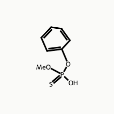 COP(O)(=S)Oc1ccccc1